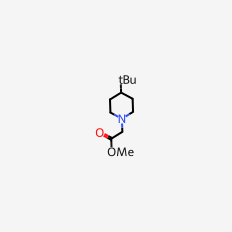 COC(=O)CN1CCC(C(C)(C)C)CC1